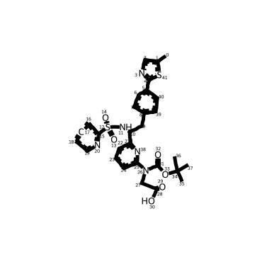 Cc1cnc(-c2ccc(CC(NS(=O)(=O)c3ccccn3)c3cccc(N(CC(=O)O)C(=O)OC(C)(C)C)n3)cc2)s1